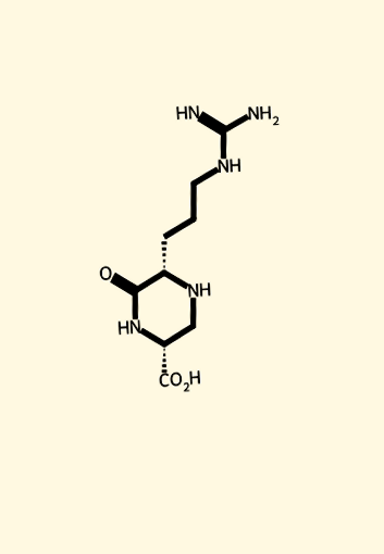 N=C(N)NCCC[C@@H]1NC[C@H](C(=O)O)NC1=O